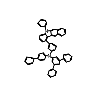 c1ccc(-c2ccc(N(c3cc(-c4ccccc4)cc(-c4ccccc4)c3)c3cccc(-c4cccc5c4c4cc6ccccc6cc4n5-c4ccccc4)c3)cc2)cc1